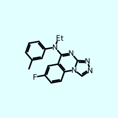 CCN(c1cccc(C)c1)c1nc2nncn2c2ccc(F)cc12